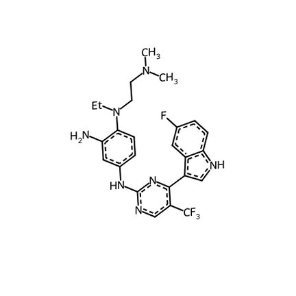 CCN(CCN(C)C)c1ccc(Nc2ncc(C(F)(F)F)c(-c3c[nH]c4ccc(F)cc34)n2)cc1N